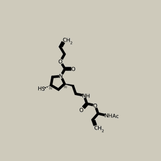 C=CCOC(=O)N1C[C@@H](S)C[C@@H]1CCNC(=O)OC(C=C)NC(C)=O